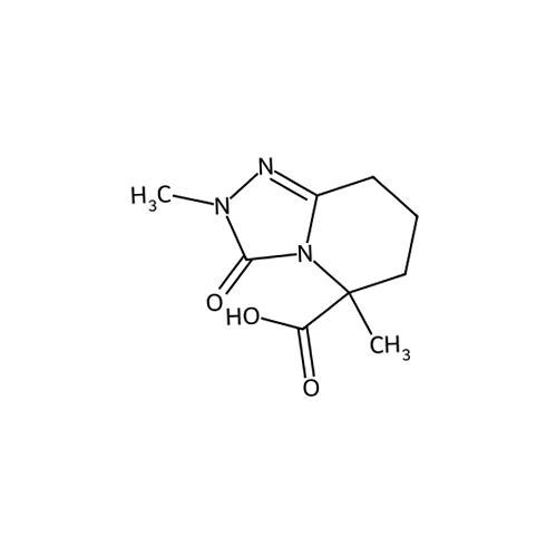 Cn1nc2n(c1=O)C(C)(C(=O)O)CCC2